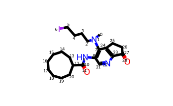 CN(CCCCI)c1c(NC(=O)C2CCCCCCCC2)cnc2c1CCC2=O